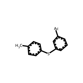 CC(=O)c1cccc(Sc2ccc(C)cc2)c1